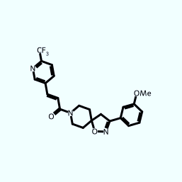 COc1cccc(C2=NOC3(CCN(C(=O)/C=C/c4ccc(C(F)(F)F)nc4)CC3)C2)c1